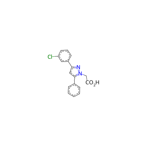 O=C(O)Cn1nc(-c2cccc(Cl)c2)cc1-c1ccccc1